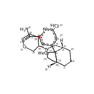 COC1(c2ccnc(C(N)=O)c2)[C@@H]2CCC[C@H]1CN(C1CCCOC1)C2.Cl